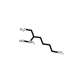 CCCCCC(CC)[SiH2]O